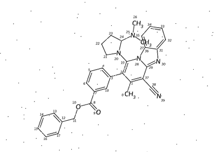 Cc1c(-c2cccc(C(=O)OCc3ccccc3)c2)c(N2CCCC2N(C)C)n2c(nc3ccccc32)c1C#N